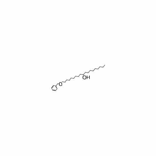 CCCCCCCCCC(O)CCCCCCCCCOCc1ccccc1